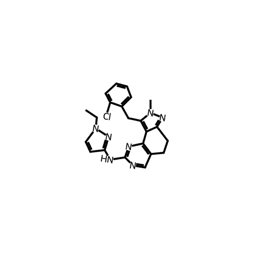 CCn1ccc(Nc2ncc3c(n2)-c2c(nn(C)c2Cc2ccccc2Cl)CC3)n1